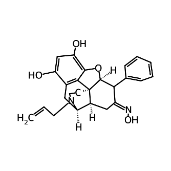 C=CCN1CC[C@]23c4c5c(O)cc(O)c4O[C@H]2C(c2ccccc2)C(=NO)C[C@H]3[C@H]1C5